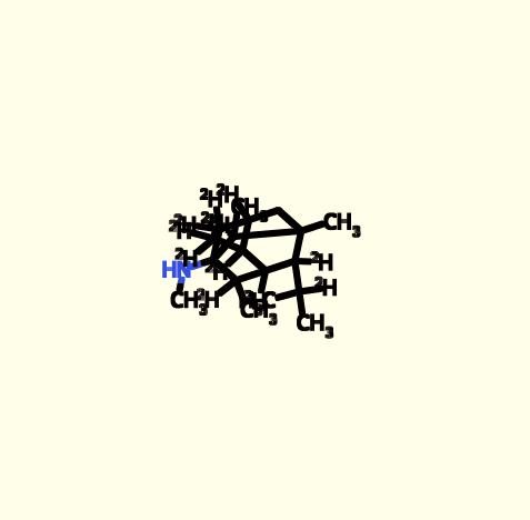 [2H]C([2H])([2H])C1([2H])C2([2H])CC3(C)C([2H])(C)C(NC)(C2([2H])[2H])C([2H])(C)C1([2H])C3([2H])C([2H])(C)C